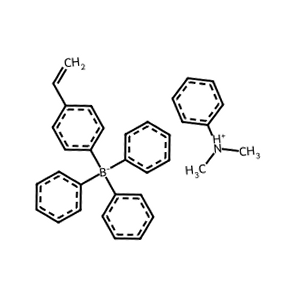 C=Cc1ccc([B-](c2ccccc2)(c2ccccc2)c2ccccc2)cc1.C[NH+](C)c1ccccc1